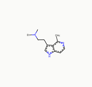 CCN(C)CCc1c[nH]c2ccnc(OC(C)=O)c12